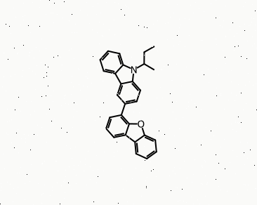 CCC(C)n1c2ccccc2c2cc(-c3cccc4c3oc3ccccc34)ccc21